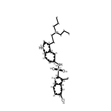 CCCN(CCC)CCc1c[nH]c2ccc(NS(=O)(=O)c3sc4ccc(Cl)cc4c3C)cc12